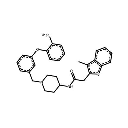 COc1ccccc1Oc1cccc(CN2CCC(NC(=O)Cc3sc4ccccc4c3C)CC2)c1